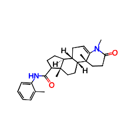 Cc1ccccc1NC(=O)C1CC[C@H]2[C@@H]3CC=C4N(C)C(=O)CC[C@]4(C)[C@@H]3CC[C@]12C